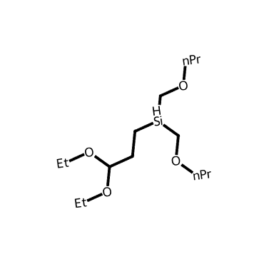 CCCOC[SiH](CCC(OCC)OCC)COCCC